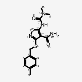 Cc1ccc(CSc2nsc(NC(=O)N(C)C)c2C(N)=O)cc1